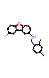 Cc1ccc(CNc2ccc3oc4ccc(F)cc4c3c2)c(C)c1